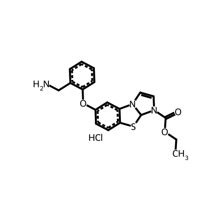 CCOC(=O)N1C=CN2c3cc(Oc4ccccc4CN)ccc3SC12.Cl